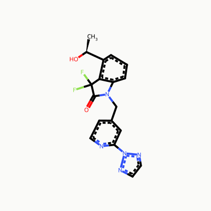 C[C@H](O)c1cccc2c1C(F)(F)C(=O)N2Cc1ccnc(-n2nccn2)c1